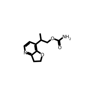 CC(COC(N)=O)c1ccnc2c1OCC2